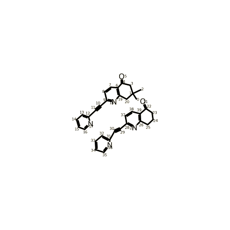 CC1(C)CC(=O)c2ccc(C#Cc3ccccn3)nc2C1.O=C1CCCc2nc(C#Cc3ccccn3)ccc21